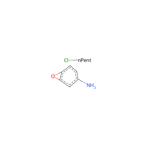 CCCCCCl.Nc1ccc2c(c1)O2